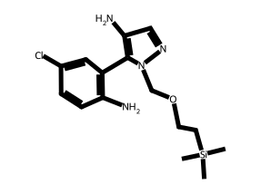 C[Si](C)(C)CCOCn1ncc(N)c1-c1cc(Cl)ccc1N